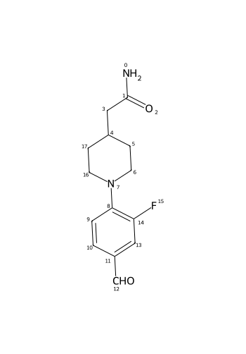 NC(=O)CC1CCN(c2ccc(C=O)cc2F)CC1